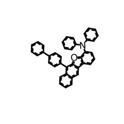 c1ccc(-c2ccc(-c3c4ccccc4cc4c3oc3c(N(c5ccccc5)c5ccccc5)cccc34)cc2)cc1